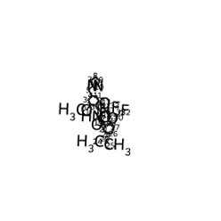 COc1cc(Cn2cccn2)cc2onc(NS(=O)(=O)c3cc(C(C)C)ccc3OCC(F)F)c12